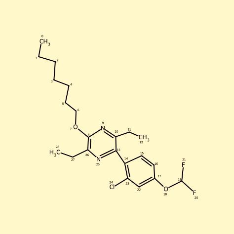 CCCCCCCOc1nc(CC)c(-c2ccc(OC(F)F)cc2Cl)nc1CC